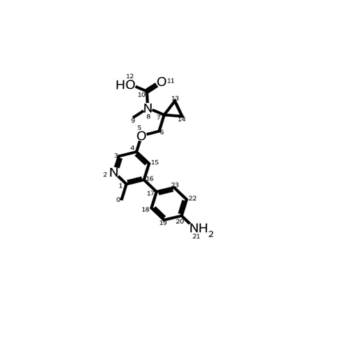 Cc1ncc(OCC2(N(C)C(=O)O)CC2)cc1-c1ccc(N)cc1